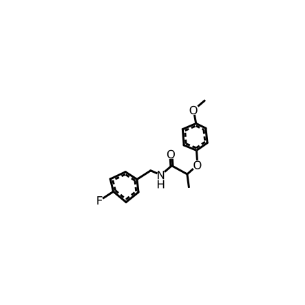 COc1ccc(OC(C)C(=O)NCc2ccc(F)cc2)cc1